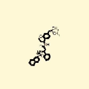 CN(C)Cc1ccc2c(c1)OCCC2NC(=O)CC(NS(=O)(=O)c1ccc2ccccc2c1)c1ccccc1